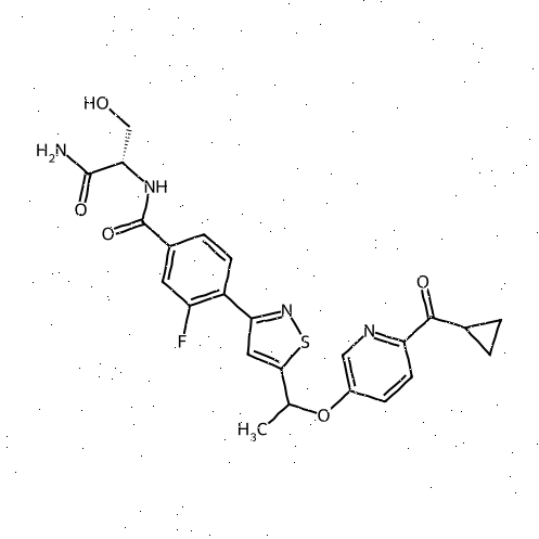 CC(Oc1ccc(C(=O)C2CC2)nc1)c1cc(-c2ccc(C(=O)N[C@@H](CO)C(N)=O)cc2F)ns1